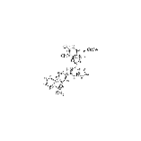 COCCN(CC(=O)CNC(CN1CCCC1)c1ccc(-c2ccccc2C(N)=O)cc1)c1ccc(Cl)c(Cl)c1